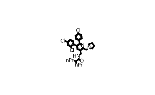 CCCC(CCC)C(=O)NCc1cc(-c2ccc(Cl)cc2Cl)c(-c2ccc(Cl)cc2)nc1CN1CCCC1